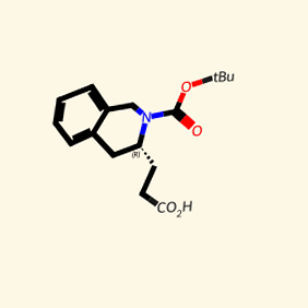 CC(C)(C)OC(=O)N1Cc2ccccc2C[C@H]1CCC(=O)O